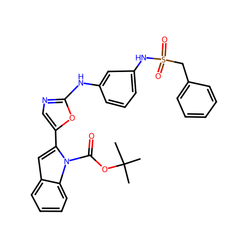 CC(C)(C)OC(=O)n1c(-c2cnc(Nc3cccc(NS(=O)(=O)Cc4ccccc4)c3)o2)cc2ccccc21